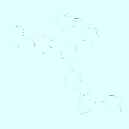 c1ccc(-c2ccc(-c3nc(-c4ccc5c(c4)oc4c(-c6ccccc6)cccc45)nc(-c4cccc5sc6ccccc6c45)n3)cc2)cc1